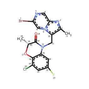 Cc1nc2cnc(Br)cn2c1CN1C(=O)[C@@H](C)Oc2c(Cl)cc(F)cc21